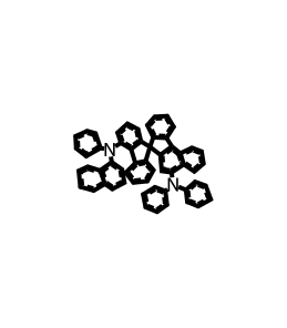 c1ccc(N(c2cccc3c2-c2ccccc2C32c3ccccc3-c3c2cc(N(c2ccccc2)c2ccccc2)c2ccccc32)c2cccc3ccccc23)cc1